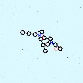 CC1C=CC=C(c2cccc(-c3cccc4c3c3ccccc3n4-c3ccc4c(c3)oc3ccccc34)c2)C1N(c1ccc(-c2ccc(-c3ccccc3)cc2)cc1)c1ccc(-c2ccc(-c3ccccc3)cc2)cc1